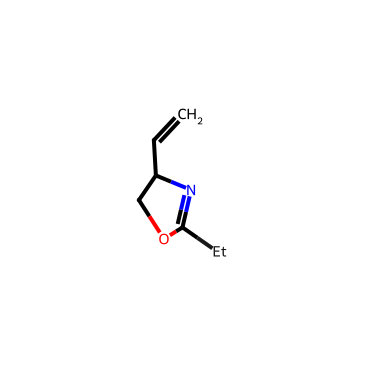 C=CC1COC(CC)=N1